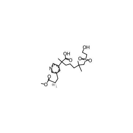 COC(=O)[C@@H](C)Cc1cncc(C(C)(CCCC(C)(C)CS(=O)(=O)CCO)C(=O)O)c1